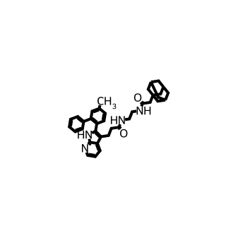 Cc1ccc(-c2[nH]c3ncccc3c2CCC(=O)NCCNC(=O)CC23CC4CC(CC(C4)C2)C3)c(-c2ccccc2)c1